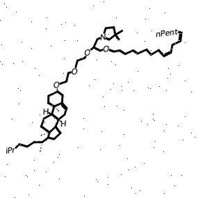 CCCCC/C=C\C/C=C\CCCCCCCCOCC(CN1CCC(C)(C)C1)OCCOCCO[C@H]1CC[C@@]2(C)C(=CC[C@H]3C4CCC([C@H](C)CCCC(C)C)[C@@]4(C)CC[C@@H]32)C1